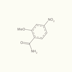 COc1cc([N+](=O)[O-])ccc1C(N)=O